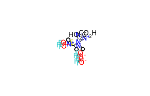 C[N+](C)(CCCN(CCC[N+](C)(C)CC(=O)O)C1=C/C(=C\c2sc3cccc4c3[n+]2CCC4)c2ccccc2N1Cc1ccccc1)CC(=O)O.O=C([O-])C(F)(F)F.O=C([O-])C(F)(F)F.O=C([O-])C(F)(F)F